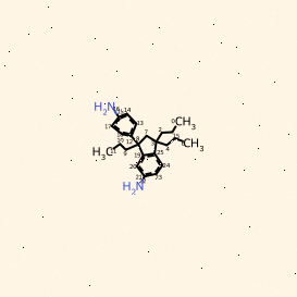 CCCC1(CCC)CC(CCC)(c2ccc(N)cc2)c2cc(N)ccc21